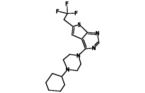 FC(F)(F)Cc1cc2c(N3CCN(C4CCCCC4)CC3)ncnc2s1